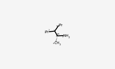 CC(C)C(C(C)C)[C@@H](C)N